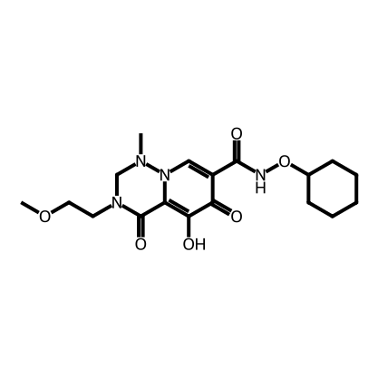 COCCN1CN(C)n2cc(C(=O)NOC3CCCCC3)c(=O)c(O)c2C1=O